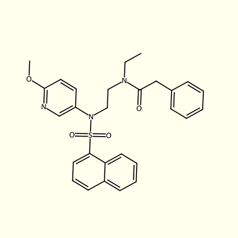 CCN(CCN(c1ccc(OC)nc1)S(=O)(=O)c1cccc2ccccc12)C(=O)Cc1ccccc1